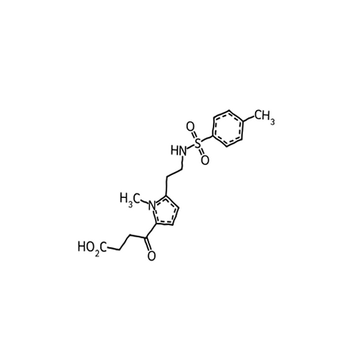 Cc1ccc(S(=O)(=O)NCCc2ccc(C(=O)CCC(=O)O)n2C)cc1